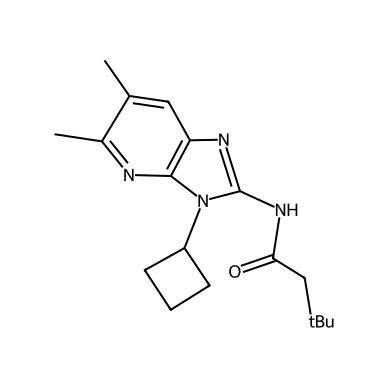 Cc1cc2nc(NC(=O)CC(C)(C)C)n(C3CCC3)c2nc1C